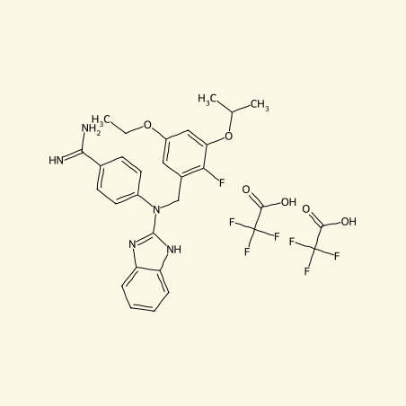 CCOc1cc(CN(c2ccc(C(=N)N)cc2)c2nc3ccccc3[nH]2)c(F)c(OC(C)C)c1.O=C(O)C(F)(F)F.O=C(O)C(F)(F)F